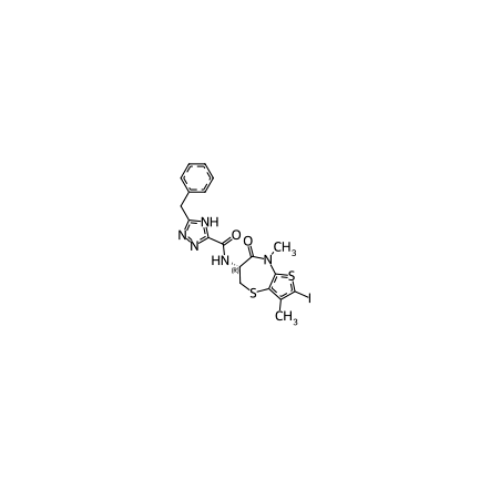 Cc1c(I)sc2c1SC[C@H](NC(=O)c1nnc(Cc3ccccc3)[nH]1)C(=O)N2C